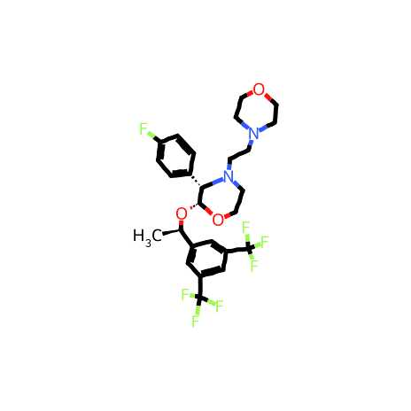 C[C@@H](O[C@H]1OCCN(CCN2CCOCC2)[C@H]1c1ccc(F)cc1)c1cc(C(F)(F)F)cc(C(F)(F)F)c1